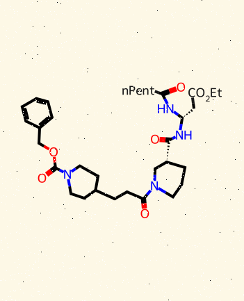 CCCCCC(=O)N[C@H](CC(=O)OCC)NC(=O)[C@@H]1CCCN(C(=O)CCC2CCN(C(=O)OCc3ccccc3)CC2)C1